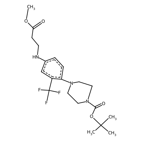 COC(=O)CCNc1ccc(N2CCN(C(=O)OC(C)(C)C)CC2)c(C(F)(F)F)c1